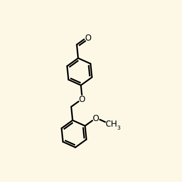 COc1ccccc1COc1ccc(C=O)cc1